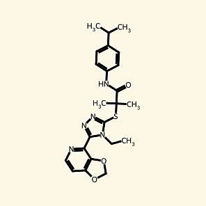 CCn1c(SC(C)(C)C(=O)Nc2ccc(C(C)C)cc2)nnc1-c1nccc2c1OCO2